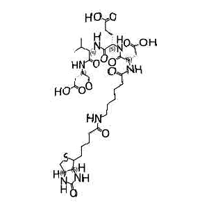 CC(C)[C@H](NC(=O)[C@H](CCC(=O)O)NC(=O)[C@H](CC(=O)O)NC(=O)CCCCCNC(=O)CCCCC1SC[C@@H]2NC(=O)N[C@H]12)C(=O)N[C@H](C=O)CC(=O)O